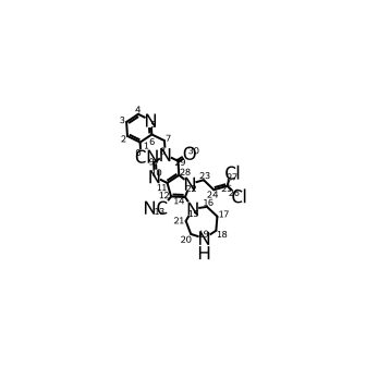 N#Cc1cccnc1Cn1cnc2c(C#N)c(N3CCCNCC3)n(CC=C(Cl)Cl)c2c1=O